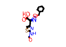 O=CNc1nc(/C(=N/OCc2ccccc2)C(=O)O)cs1